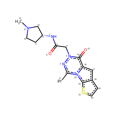 CC(C)c1nn(CC(=O)N[C@@H]2CCN(C)C2)c(=O)c2cc3ccsc3n12